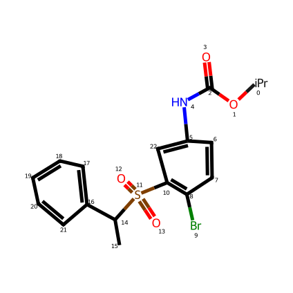 CC(C)OC(=O)Nc1ccc(Br)c(S(=O)(=O)C(C)c2ccccc2)c1